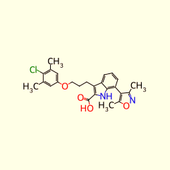 Cc1cc(OCCCc2c(C(=O)O)[nH]c3c(-c4c(C)noc4C)cccc23)cc(C)c1Cl